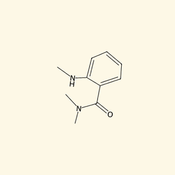 CNc1ccccc1C(=O)N(C)C